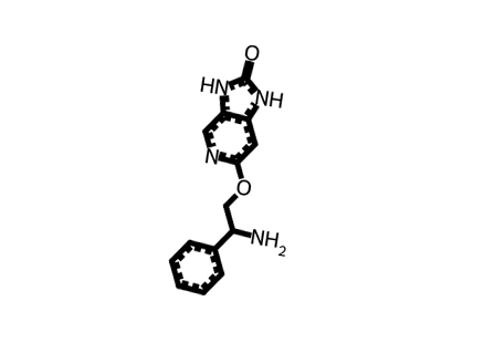 NC(COc1cc2[nH]c(=O)[nH]c2cn1)c1ccccc1